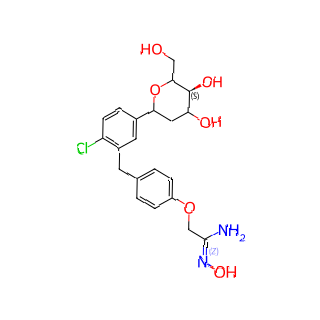 N/C(COc1ccc(Cc2cc(C3CC(O)[C@H](O)C(CO)O3)ccc2Cl)cc1)=N\O